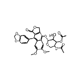 COc1cc2c(OC3OCC(OC(C)=O)C(OC(C)=O)C3O)c3c(c(-c4ccc5c(c4)OCO5)c2cc1OC)C(=O)OC3